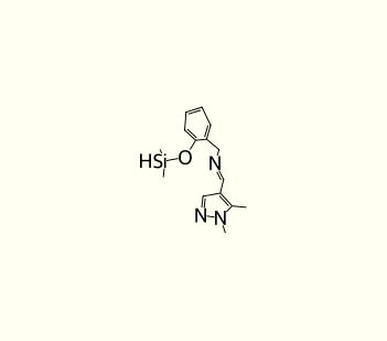 Cc1c(C=NCc2ccccc2O[SiH](C)C)cnn1C